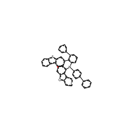 c1ccc(-c2ccc(N(c3cccc(-c4ccccc4)c3-c3ccc4c(c3)sc3ccccc34)c3cccc4oc5ccccc5c34)cc2)cc1